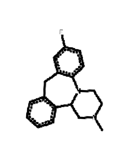 CN1CCN2c3ccc(F)cc3Cc3ccccc3C2C1